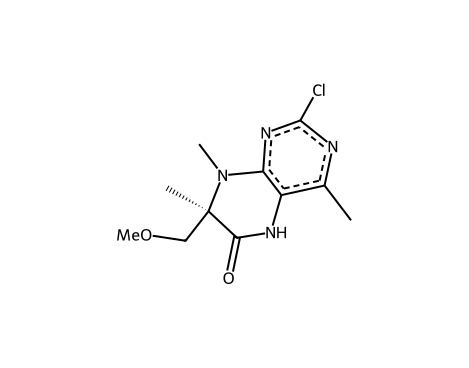 COC[C@]1(C)C(=O)Nc2c(C)nc(Cl)nc2N1C